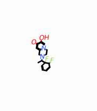 CC(N1CCn2cc(O)c(=O)cc2C1)C1(F)C=CC=CC1F